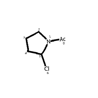 CC(=O)N1CCCC1Cl